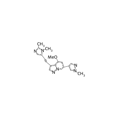 COc1cc(-c2cnn(C)c2)cn2ncc(C#Cc3cnc(C)n3C)c12